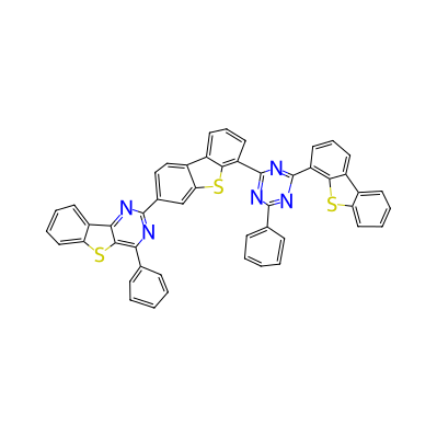 c1ccc(-c2nc(-c3cccc4c3sc3ccccc34)nc(-c3cccc4c3sc3cc(-c5nc(-c6ccccc6)c6sc7ccccc7c6n5)ccc34)n2)cc1